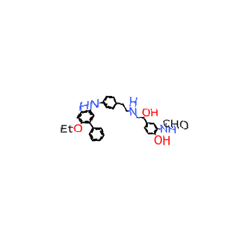 CCOc1ccc(Nc2ccc(CCNCC(O)c3ccc(O)c(NC=O)c3)cc2)cc1-c1ccccc1